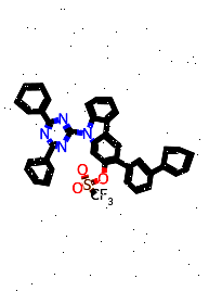 O=S(=O)(Oc1cc2c(cc1-c1cccc(-c3ccccc3)c1)c1ccccc1n2-c1nc(-c2ccccc2)nc(-c2ccccc2)n1)C(F)(F)F